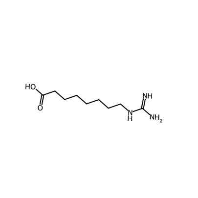 N=C(N)NCCCCCCCC(=O)O